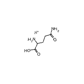 NC(=O)CCC(N)C(=O)O.[H+]